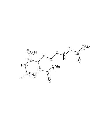 COC(=O)O/N=C(/C)N[C@@H](CCCCNOC(=O)OC)C(=O)O